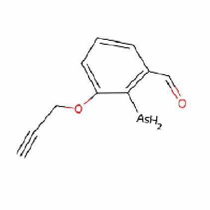 C#CCOc1cccc(C=O)c1[AsH2]